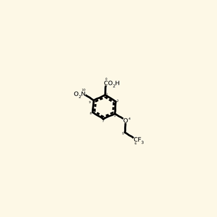 O=C(O)c1cc(OCC(F)(F)F)ccc1[N+](=O)[O-]